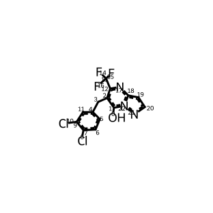 Oc1c(Cc2ccc(Cl)c(Cl)c2)c(C(F)(F)F)nc2ccnn12